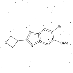 COc1cc2nc(C3COC3)oc2cc1Br